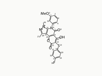 COc1cccc(-n2c(=O)c3c(O)c(Sc4ccc(F)cc4)c(=O)oc3c3c(C)nn(C)c32)c1